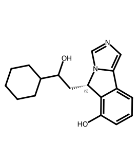 Oc1cccc2c1[C@H](CC(O)C1CCCCC1)n1cncc1-2